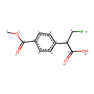 COC(=O)c1ccc(C(CF)C(=O)O)cc1